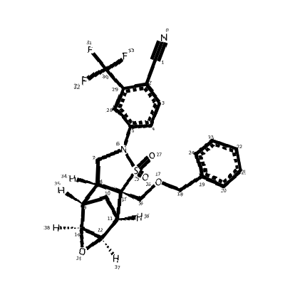 N#Cc1ccc(N2C[C@H]3[C@@H]4C[C@@H]([C@H]5O[C@@H]45)[C@@]3(COCc3ccccc3)S2(=O)=O)cc1C(F)(F)F